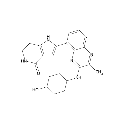 Cc1nc2cccc(-c3cc4c([nH]3)CCNC4=O)c2nc1NC1CCC(O)CC1